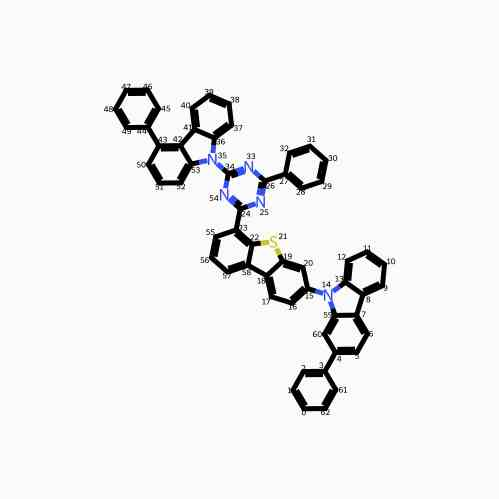 c1ccc(-c2ccc3c4ccccc4n(-c4ccc5c(c4)sc4c(-c6nc(-c7ccccc7)nc(-n7c8ccccc8c8c(-c9ccccc9)cccc87)n6)cccc45)c3c2)cc1